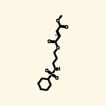 COC(=O)/C=C/C(=O)OCCCNS(=O)(=O)C1CCCCC1